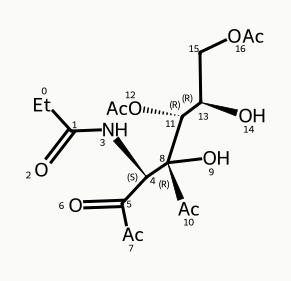 CCC(=O)N[C@H](C(=O)C(C)=O)[C@](O)(C(C)=O)[C@H](OC(C)=O)[C@H](O)COC(C)=O